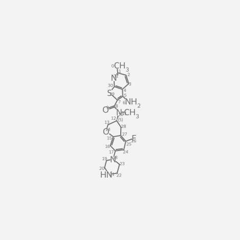 Cc1ccc2c(N)c(C(=O)N(C)[C@@H]3COc4cc(N5CCNCC5)cc(F)c4C3)sc2n1